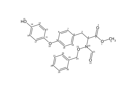 COC(=O)C(Cc1ccc(Oc2ccc(O)cc2)cc1)N(C=O)OCc1ccccc1